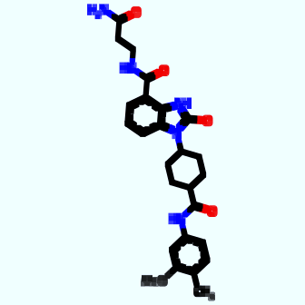 COc1cc(NC(=O)C2CCC(n3c(=O)[nH]c4c(C(=O)NCCC(N)=O)cccc43)CC2)ccc1C